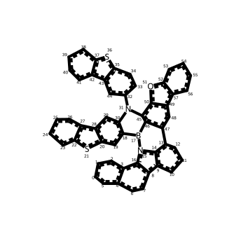 c1ccc2c(c1)ccc1c3cccc4c3n(c21)B1c2cc3sc5ccccc5c3cc2N(c2ccc3sc5ccccc5c3c2)c2c1c-4cc1c2oc2ccccc21